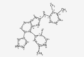 Cc1cc(-c2c(-c3cn[nH]c3)ccn3nc(Nc4ccnc(C)c4C)nc23)c(F)cn1